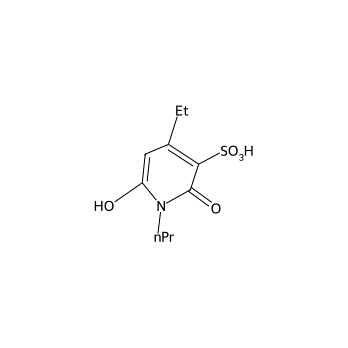 CCCn1c(O)cc(CC)c(S(=O)(=O)O)c1=O